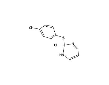 Clc1ccc(SC2(Cl)N=C[C]=CN2)cc1